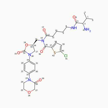 CC(C)C(N)C(=O)NCCCCC(=O)N(C[C@H]1CN(c2ccc(N3CCOCC3=O)cc2)C(=O)O1)C(=O)c1ccc(Cl)s1